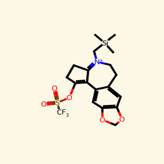 C[Si](C)(C)C[N+]1=C2CCC(OS(=O)(=O)C(F)(F)F)=C2c2cc3c(cc2CC1)OCO3